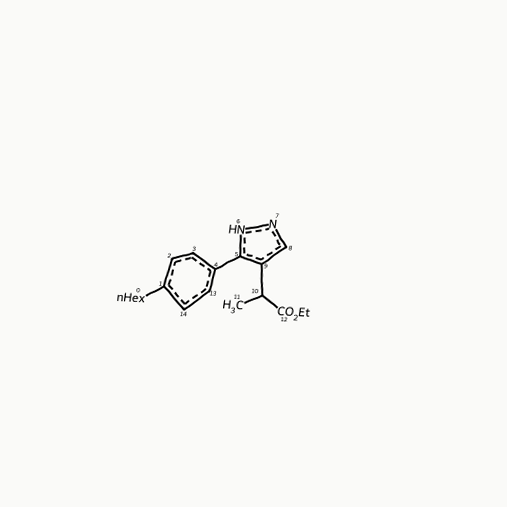 CCCCCCc1ccc(-c2[nH]ncc2C(C)C(=O)OCC)cc1